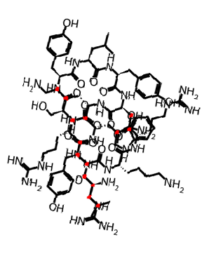 CC(C)C[C@H](NC(=O)[C@H](Cc1ccc(O)cc1)NC(=O)[C@H](CO)NC(=O)[C@H](Cc1c[nH]c2ccccc12)NC(=O)[C@H](Cc1ccc(O)cc1)NC(=O)[C@@H](N)CC(C)C)C(=O)N[C@@H](Cc1ccc(O)cc1)C(=O)N[C@@H](CC(N)=O)C(=O)N[C@@H](CCCCN)C(=O)N[C@@H](CCCNC(=N)N)C(=O)N[C@@H](CCCNC(=N)N)C(=O)N[C@@H](CCCCN)C(=O)N[C@@H](CCCNC(=N)N)C(=O)O